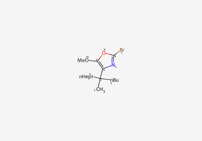 CCCCCCCC(C)(CCCC)c1nc(Br)oc1OC